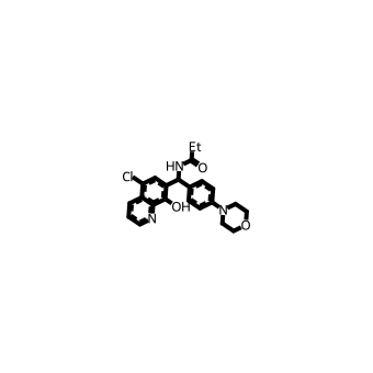 CCC(=O)NC(c1ccc(N2CCOCC2)cc1)c1cc(Cl)c2cccnc2c1O